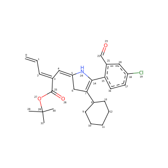 C=C/C=C(\C=C1/CC(C2CCCCC2)=C(c2ccc(Cl)cc2C=O)N1)C(=O)OC(C)(C)C